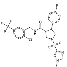 Cn1cnc(S(=O)(=O)N2CC(C(=O)NCc3cc(C(F)(F)F)ccc3Cl)C(c3ccc(F)cc3)C2)c1